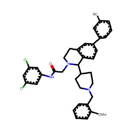 COc1ccccc1CN1CCC(C2c3ccc(-c4cccc(C#N)c4)cc3CCN2CC(=O)Nc2cc(Cl)cc(Cl)c2)CC1